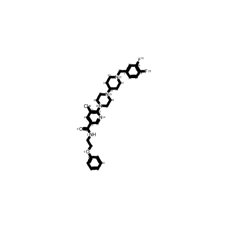 O=C(NCCOc1ccccc1)c1cnc(N2CCN(C3CCN(Cc4ccc(F)c(F)c4)CC3)CC2)c(Cl)c1